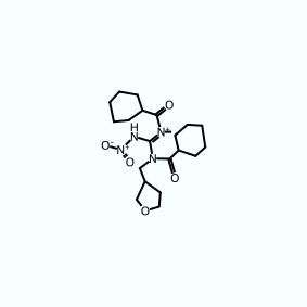 C[N+](C(=O)C1CCCCC1)=C(N[N+](=O)[O-])N(CC1CCOC1)C(=O)C1CCCCC1